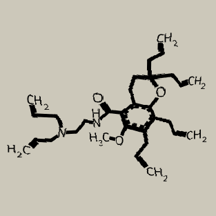 C=CCc1c(CC=C)c(OC)c(C(=O)NCCN(CC=C)CC=C)c2c1OC(CC=C)(CC=C)CC2